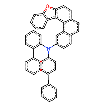 c1ccc(-c2ccc(N(c3ccc4ccc5ccc6oc7ccccc7c6c5c4c3)c3ccccc3-c3ccccc3)cc2)cc1